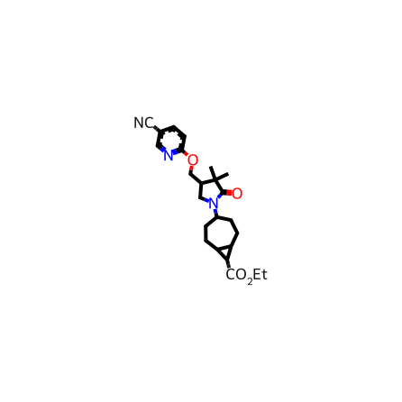 CCOC(=O)C1C2CCC(N3CC(COc4ccc(C#N)cn4)C(C)(C)C3=O)CCC21